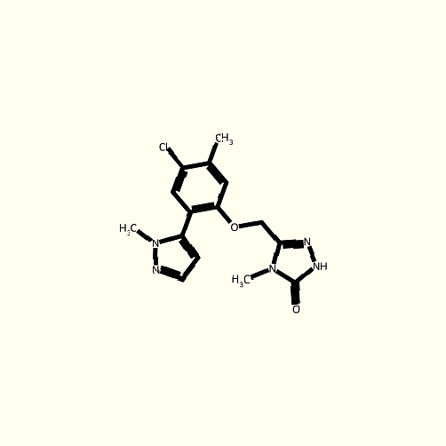 Cc1cc(OCc2n[nH]c(=O)n2C)c(-c2ccnn2C)cc1Cl